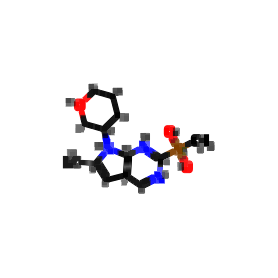 CS(=O)(=O)c1ncc2cc(C#N)n([C@@H]3CCCOC3)c2n1